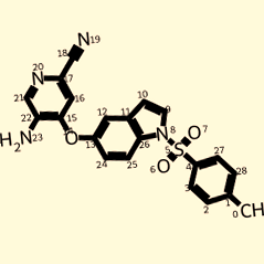 Cc1ccc(S(=O)(=O)n2ccc3cc(Oc4cc(C#N)ncc4N)ccc32)cc1